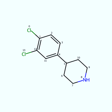 Clc1ccc([C]2CCNCC2)cc1Cl